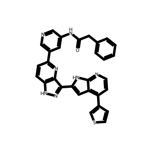 O=C(Cc1ccccc1)Nc1cncc(-c2ccc3[nH]nc(-c4cc5c(-c6ccsc6)ccnc5[nH]4)c3n2)c1